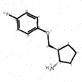 N[C@H]1CCC[C@@H]1COc1ccc(F)cc1